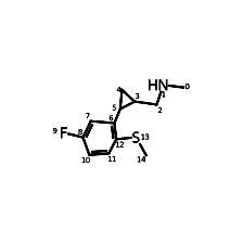 CNCC1CC1c1cc(F)ccc1SC